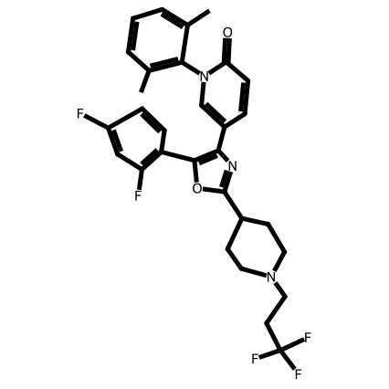 Cc1cccc(C)c1-n1cc(-c2nc(C3CCN(CCC(F)(F)F)CC3)oc2-c2ccc(F)cc2F)ccc1=O